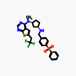 CN(c1ncnc2sc(CC(F)(F)F)cc12)[C@@H]1CC[C@H](NCc2ccc(S(=O)(=O)c3ccccc3)cc2)C1